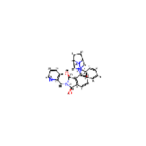 O=C1c2cccc(N3CC4CCC(C3)N4Cc3ccccc3)c2C(=O)N1Cc1ccccn1